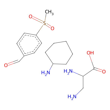 CS(=O)(=O)c1ccc(C=O)cc1.NC1CCCCC1.NCC(N)C(=O)O